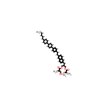 C=C(C)C(=O)OCC(COC(=O)C(=C)CO)Cc1ccc2cc(CCc3ccc(C4CCC(C5CCC(CCCCC)CC5)CC4)cc3)ccc2c1